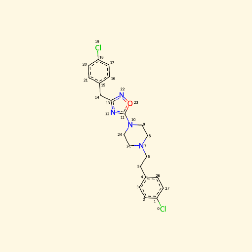 Clc1ccc(CCN2CCN(c3nc(Cc4ccc(Cl)cc4)no3)CC2)cc1